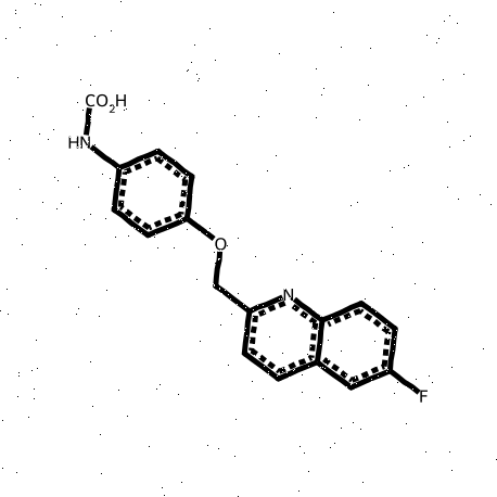 O=C(O)Nc1ccc(OCc2ccc3cc(F)ccc3n2)cc1